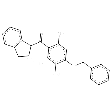 COc1cc(C(=O)C2c3ccccc3C[C@H]2C=O)c([N+](=O)[O-])cc1OCc1ccccc1